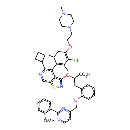 COc1ccccc1-c1nccc(COc2ccccc2C[C@@H](Oc2nsc3cnc(C4CCC4)c(C4=C(C)C(Cl)=C(OCCN5CCN(C)CC5)CC4C)c23)C(=O)O)n1